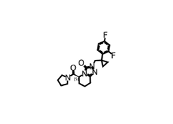 O=C([C@@H]1CCCc2nn(CC3(c4ccc(F)cc4F)CC3)c(=O)n21)N1CCCC1